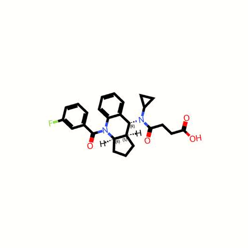 O=C(O)CCC(=O)N(C1CC1)[C@H]1c2ccccc2N(C(=O)c2cccc(F)c2)[C@@H]2CCC[C@@H]21